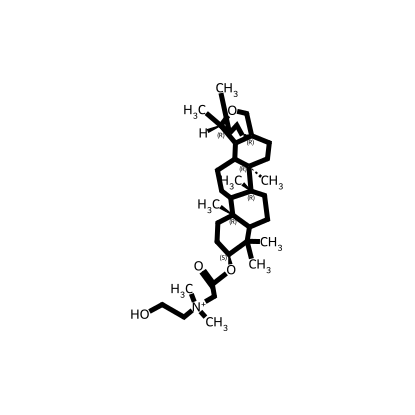 CC1(C)CC[C@]23CC[C@]4(C)C(CCC5[C@@]6(C)CC[C@H](OC(=O)C[N+](C)(C)CCO)C(C)(C)C6CC[C@]54C)C2[C@H]1OC3